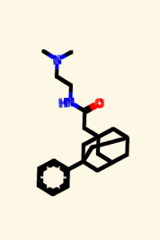 CN(C)CCNC(=O)CC12CC3CC(C1)CC(c1ccccc1)(C3)C2